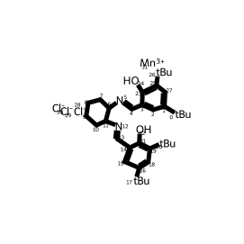 CC(C)(C)c1cc(C=NC2CCCCC2N=Cc2cc(C(C)(C)C)cc(C(C)(C)C)c2O)c(O)c(C(C)(C)C)c1.[Cl-].[Cl-].[Cl-].[Mn+3]